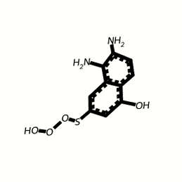 Nc1ccc2c(O)cc(SOOO)cc2c1N